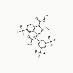 CCOC(=O)N1c2ccc(C(F)(F)F)cc2[C@H]([C@H](C(=O)OC)c2cc(C(F)(F)F)cc(C(F)(F)F)c2)C[C@H]1CC